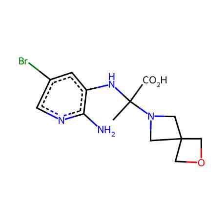 CC(Nc1cc(Br)cnc1N)(C(=O)O)N1CC2(COC2)C1